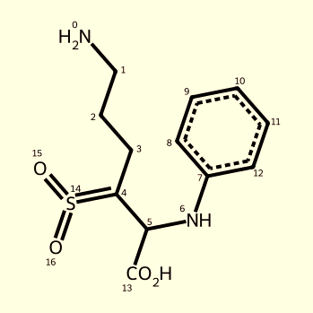 NCCCC(C(Nc1ccccc1)C(=O)O)=S(=O)=O